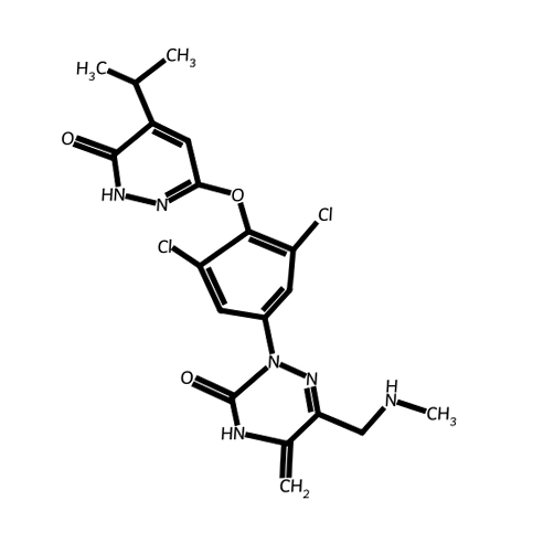 C=C1NC(=O)N(c2cc(Cl)c(Oc3cc(C(C)C)c(=O)[nH]n3)c(Cl)c2)N=C1CNC